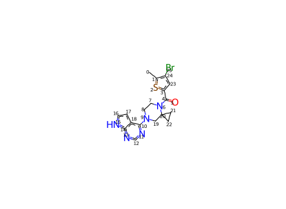 Cc1sc(C(=O)N2CCN(c3ncnc4[nH]ccc34)CC23CC3)cc1Br